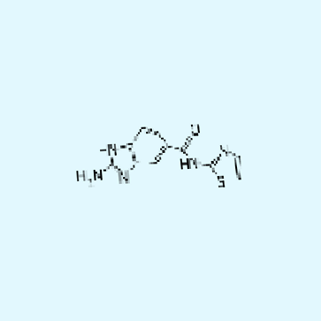 Nc1nc2cc(C(=O)Nc3nccs3)ccc2[nH]1